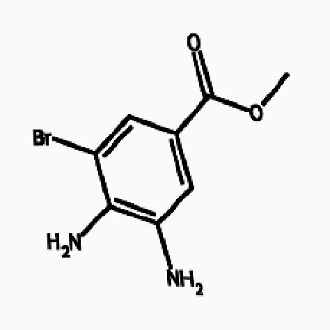 COC(=O)c1cc(N)c(N)c(Br)c1